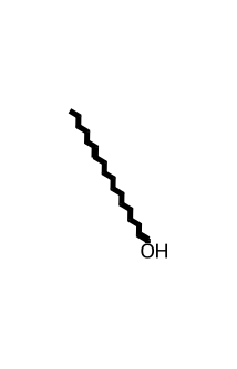 CCCCCC=CCCCCCCCCCC=CO